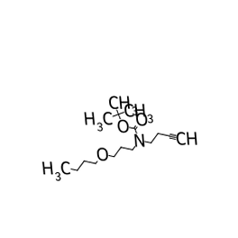 C#CCCN(CCCOCCCC)C(=O)OC(C)(C)C